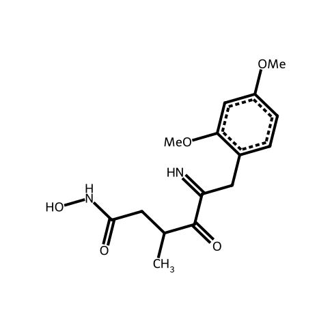 COc1ccc(CC(=N)C(=O)C(C)CC(=O)NO)c(OC)c1